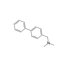 CN(C)Cc1ccc(-c2cc[c]cc2)cc1